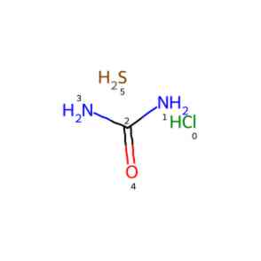 Cl.NC(N)=O.S